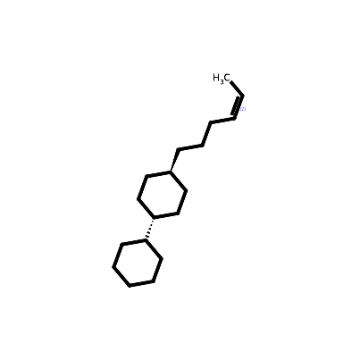 C/C=C\CCC[C@H]1CC[C@H](C2CCCCC2)CC1